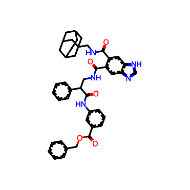 O=C(OCc1ccccc1)c1cccc(NC(=O)C(CNC(=O)c2cc3nc[nH]c3cc2C(=O)NCC23CC4CC(CC(C4)C2)C3)c2ccccc2)c1